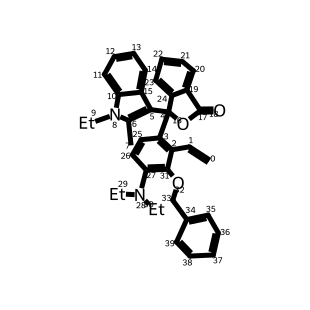 C=Cc1c(C2(c3c(C)n(CC)c4ccccc34)OC(=O)c3ccccc32)ccc(N(CC)CC)c1OCc1ccccc1